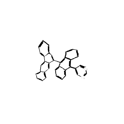 c1ccc2cc3c(cc2c1)c(-c1c2ccccc2c(-c2cncnc2)c2ccccc12)cc1ccccc13